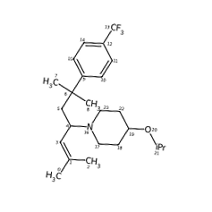 CC(C)=CC(CC(C)(C)c1ccc(C(F)(F)F)cc1)N1CCC(OC(C)C)CC1